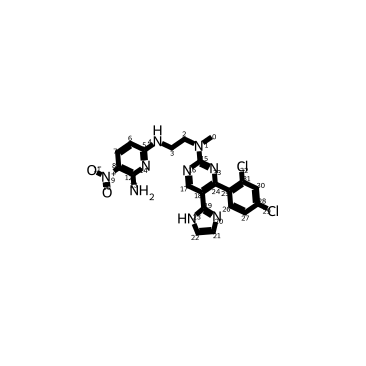 CN(CCNc1ccc([N+](=O)[O-])c(N)n1)c1ncc(-c2ncc[nH]2)c(-c2ccc(Cl)cc2Cl)n1